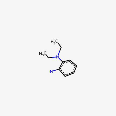 CCN(CC)c1ccccc1[N]